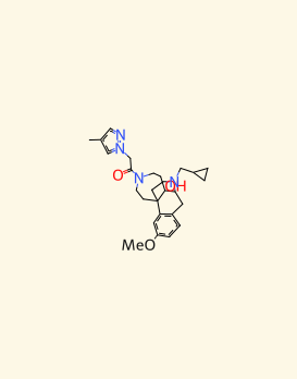 COc1ccc2c(c1)C13CCN(C(=O)Cn4cc(C)cn4)CCC1(O)C(C2)N(CC1CC1)CC3